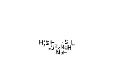 S.S.S.[NaH].[NaH]